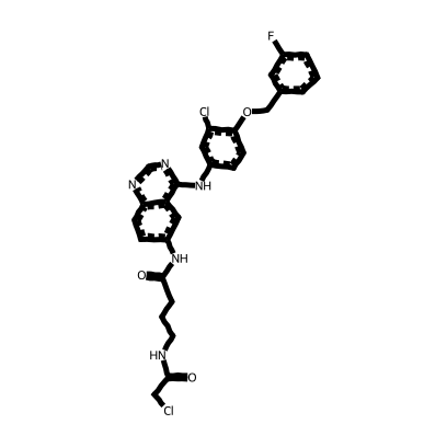 O=C(CCl)NCCCC(=O)Nc1ccc2ncnc(Nc3ccc(OCc4cccc(F)c4)c(Cl)c3)c2c1